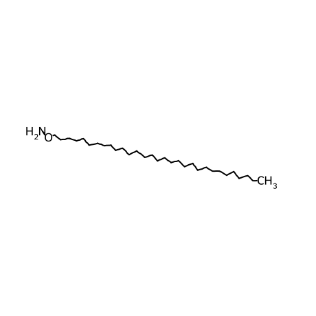 CCCCCCCCCCCCCCCCCCCCCCCCCCCCCCCON